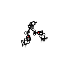 CC1CC2CC(C)C3(OC(COC(=O)C45CC6CC(C4)C4(OCC(F)(F)C(F)(F)CO4)C(C6)C5)C(COC(=O)C45CC6CC(C4)C4(OCC(F)(F)C(F)(F)CO4)C(C6)C5)O3)C(C1)C2